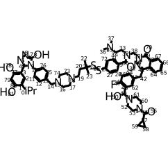 CC(C)c1cc(-c2nnc(O)n2-c2ccc(CN3CCN(CCC(C)(C)SSc4ccc(C(=O)N(CCN(C)C)Cn5nc(Cc6ccc(F)c(C(O)N7CCN(C(=O)C8CC8)CC7)c6)c6ccccc6c5=O)cc4)CC3)cc2)c(O)cc1O